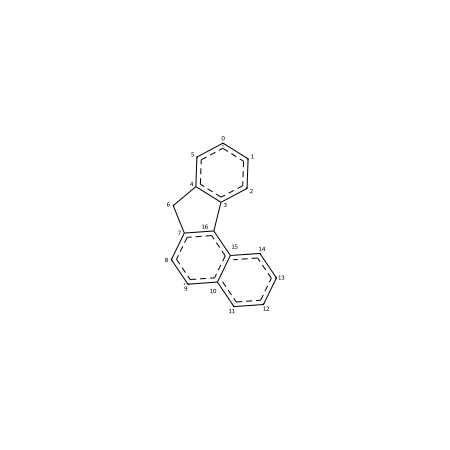 [c]1ccc2c(c1)Cc1c[c]c3ccccc3c1-2